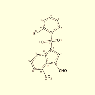 O=Cc1cn(S(=O)(=O)c2ccccc2Br)c2cccc([N+](=O)[O-])c12